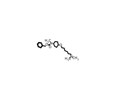 CN(C)CCCCCCO[C@H]1CC[C@H](N(C)C(=O)OCc2ccccc2)CC1